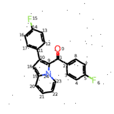 O=C(c1ccc(F)cc1)c1c(-c2ccc(F)cc2)[c]c2ccccn12